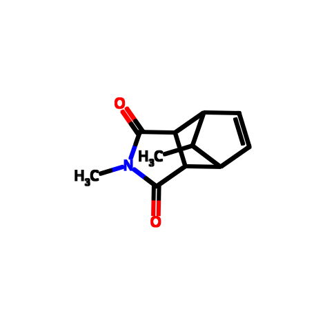 CC1C2C=CC1C1C(=O)N(C)C(=O)C21